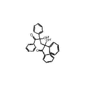 O=C(c1ccccc1)C(O)(CC(O)(C(=O)c1ccccc1)c1ccccc1)c1ccccc1